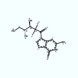 Nc1nc2c(ncn2C(=O)C(F)(F)[C@H](O)[C@H](O)CO)c(=O)[nH]1